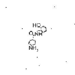 Nc1ccc(C(=O)NCc2ccccc2O)cc1